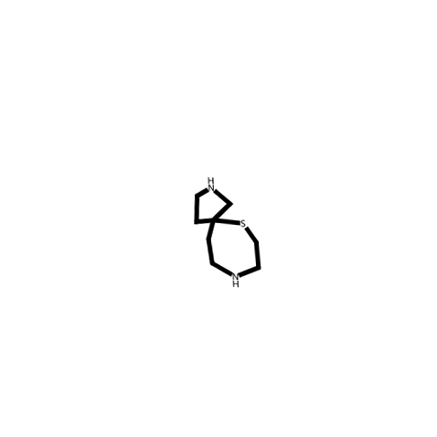 C1CSC2(CCN1)CCNC2